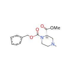 COC(=O)[C@@H]1CN(C)CCN1C(=O)OCc1ccccc1